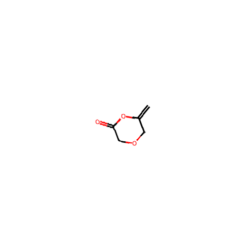 C=C1COCC(=O)O1